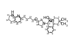 CC1(C)CCOC(c2ccccc2C(C(=O)O)N2CC[C@@H](OCCCCc3ccc4c(n3)NCCC4)C2)C1